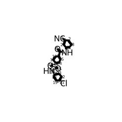 N#Cc1cccc(NC(=O)c2ccc(S(=O)(=O)Nc3ccc(Cl)cc3)cc2)c1